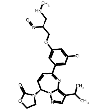 CNC[C@@H](COc1cc(Cl)cc(C2=Nc3c(C(C)C)cnn3[C@@H](N3CCOC3=O)C=C2)c1)N=O